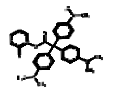 CN(C)c1ccc(C(C(=O)On2ccccc2=S)(c2ccc(N(C)C)cc2)c2ccc(N(C)C)cc2)cc1